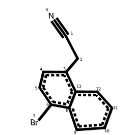 N#CCc1ccc(Br)c2ccccc12